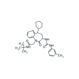 Cc1cccc(NC(=O)NC2CC(C3CCCCC3)c3ccccc3N(CC(=O)NC(C)(C)C)C2=O)c1